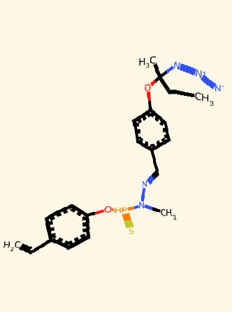 C=Cc1ccc(O[PH](=S)N(C)/N=C/c2ccc(OC(C)(CC)N=[N+]=[N-])cc2)cc1